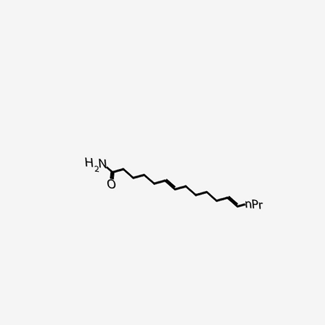 CCCC=CCCCCC=CCCCCC(N)=O